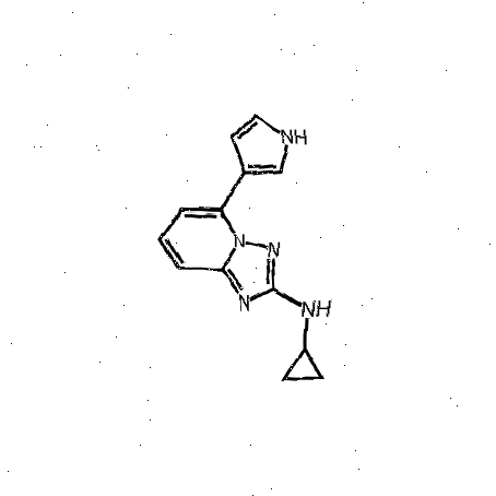 c1cc(-c2cc[nH]c2)n2nc(NC3CC3)nc2c1